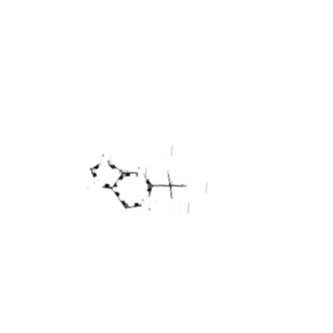 CC(C)(C)c1ncc2s[c]nc2n1